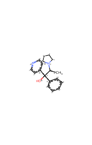 CC(N1CCCC1)C(O)(c1ccccc1)c1ccncc1